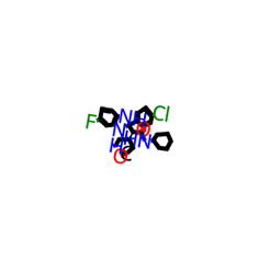 O=C(NC1CCCCC1)[C@@H](C1CCOCC1)C1(c2ccc(Cl)cc2)Nc2ccc(F)cc2N1